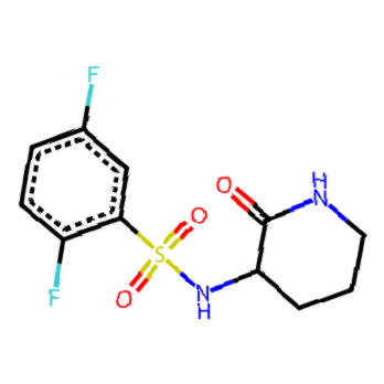 O=C1NCCCC1NS(=O)(=O)c1cc(F)ccc1F